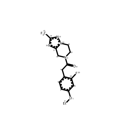 CCOc1ccc(CC(=O)N2CCn3nc(C(F)(F)F)nc3C2)c(F)c1